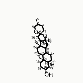 C[C@H]1CC[C@@]2(OC1)O[C@H]1CC3C4CC[C@H]5C[C@@H](O)CC[C@]5(C)C4CC[C@]3(C)[C@H]1[C@@H]2C